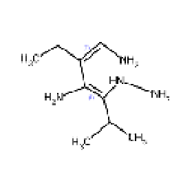 CCC(=C/N)/C(N)=C(\NN)C(C)C